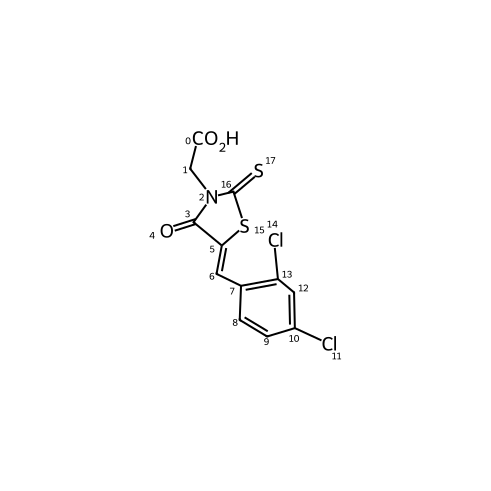 O=C(O)CN1C(=O)C(=Cc2ccc(Cl)cc2Cl)SC1=S